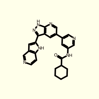 O=C(Nc1cncc(-c2cnc3[nH]nc(-c4cc5cnccc5[nH]4)c3c2)c1)C1CCCCC1